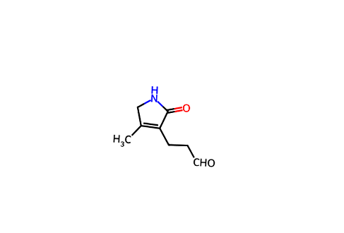 CC1=C(CCC=O)C(=O)NC1